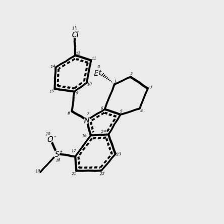 CC[C@@H]1CCCc2c1n(Cc1ccc(Cl)cc1)c1c([S+](C)[O-])cccc21